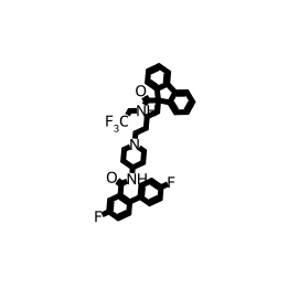 O=C(NC1CCN(CCCCC2(C(=O)NCC(F)(F)F)c3ccccc3-c3ccccc32)CC1)c1cc(F)ccc1-c1ccc(F)cc1